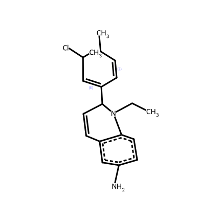 CC/C=C\C(=C/C(C)Cl)C1C=Cc2cc(N)ccc2N1CC